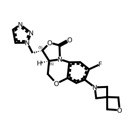 O=C1O[C@@H](Cn2ccnn2)[C@@H]2COc3cc(N4CC5(COC5)C4)c(F)cc3N12